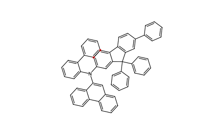 c1ccc(-c2ccc3c(c2)C(c2ccccc2)(c2ccccc2)c2cc(N(c4ccccc4-c4ccccc4)c4cc5ccccc5c5ccccc45)ccc2-3)cc1